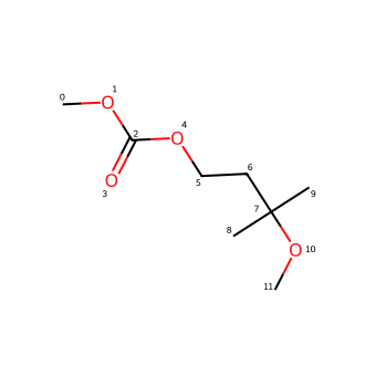 COC(=O)OCCC(C)(C)OC